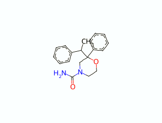 CC(c1ccccc1)C1(c2ccccc2)CN(C(N)=O)CCO1